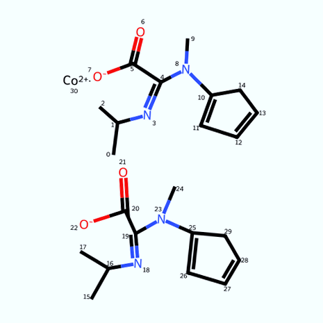 CC(C)N=C(C(=O)[O-])N(C)C1=CC=CC1.CC(C)N=C(C(=O)[O-])N(C)C1=CC=CC1.[Co+2]